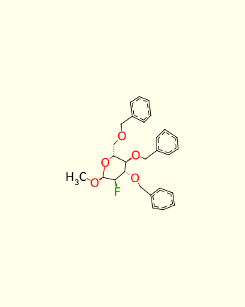 CO[C@H]1O[C@H](COCc2ccccc2)[C@@H](OCc2ccccc2)[C@H](OCc2ccccc2)[C@H]1F